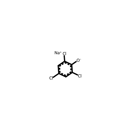 [Na+].[O-]c1c(Cl)cc(Cl)cc1Cl